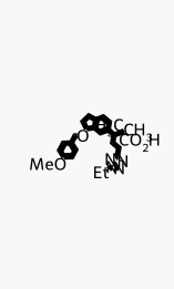 CCn1nnc(CCC(c2ccc3c(c2)C(OCc2ccc(OC)cc2)CC3)C(C)(C)C(=O)O)n1